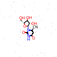 N#Cc1cc(=O)[nH]c(=O)n1[C@H]1O[C@H](CO)C(O)[C@@H]1O